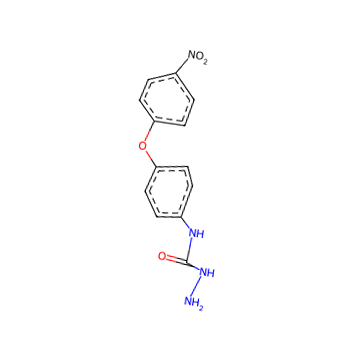 NNC(=O)Nc1ccc(Oc2ccc([N+](=O)[O-])cc2)cc1